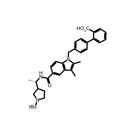 Cc1c(C)n(Cc2ccc(-c3ccccc3C(=O)O)cc2)c2ccc(C(=O)N[C@@H](C)C3CCN(C(C)(C)C)C3)cc12